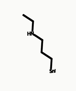 CCNCC[CH2][Sn]